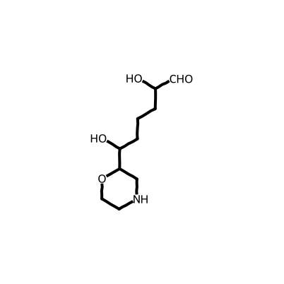 O=CC(O)CCCC(O)C1CNCCO1